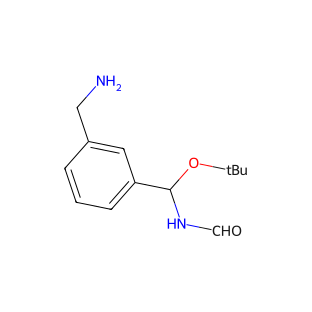 CC(C)(C)OC(NC=O)c1cccc(CN)c1